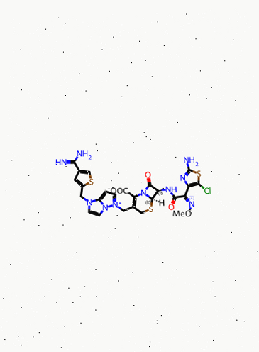 CO/N=C(\C(=O)N[C@@H]1C(=O)N2C(C(=O)[O-])=C(C[n+]3ccc4n(Cc5cc(C(=N)N)cs5)ccn43)CS[C@H]12)c1nc(N)sc1Cl